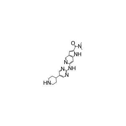 CN(C)C(=O)c1cc2cnc(Nc3ncc(C4CCNCC4)cn3)cc2[nH]1